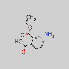 C=COC(=O)c1ccccc1C(=O)O.N